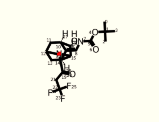 CC(C)(C)OC(=O)N/C=C1\[C@H]2CC3C[C@@H]1C([C@H]2O)N(C(=O)CC(F)(F)F)C3